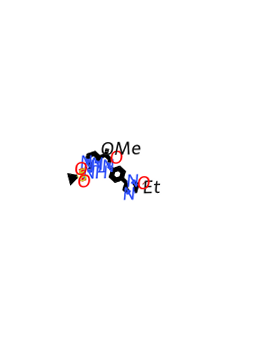 CCOc1cncc(-c2ccc(NC(=O)C(OC)c3ccnc(NS(=O)(=O)C4CC4)n3)cc2)n1